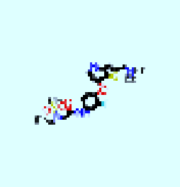 CCN(CC)Cc1cc2nccc(Oc3ccc(NC(=O)CN(CC(C)C)S(C)(=O)=O)cc3F)c2s1